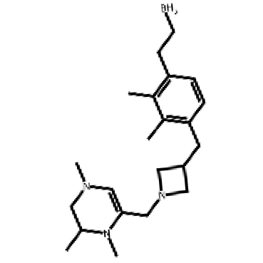 BCCc1ccc(CC2CN(CC3=CN(C)CC(C)N3C)C2)c(C)c1C